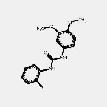 COc1ccc(NC(=O)Nc2ccccc2I)cc1OC